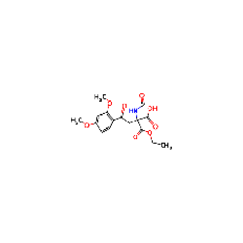 CCOC(=O)C(CC(=O)c1ccc(OC)cc1OC)(NC=O)C(=O)O